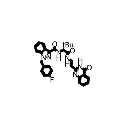 CC(C)(C)[C@H](NC(=O)c1nn(Cc2ccc(F)cc2)c2ccccc12)C(=O)NCCc1nc2ccccc2c(=O)[nH]1